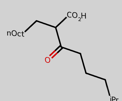 CCCCCCCCCC(C(=O)O)C(=O)CCCC(C)C